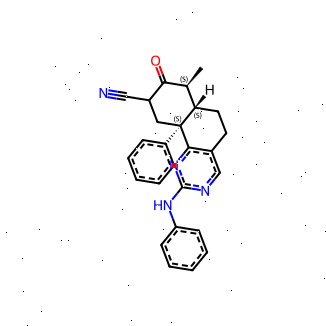 C[C@@H]1C(=O)C(C#N)C[C@]2(c3ccccc3)c3nc(Nc4ccccc4)ncc3CC[C@@H]12